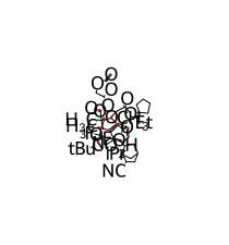 CCC1(OC(=O)COC(=O)C(C)(CC(C)(CC(C)(CON(C(c2ccccc2)C(C)C)C(C)(C)C)C(=O)OC2COC(=O)O2)C(=O)OC2CC3CC(C#N)C2C3)C(F)(F)C(=O)O)CCCC1